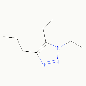 CCCc1nnn(CC)c1CC